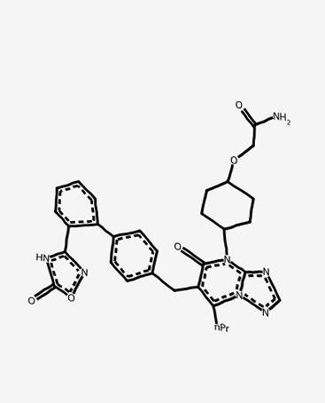 CCCc1c(Cc2ccc(-c3ccccc3-c3noc(=O)[nH]3)cc2)c(=O)n(C2CCC(OCC(N)=O)CC2)c2ncnn12